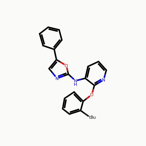 CC(C)(C)c1ccccc1Oc1ncccc1Nc1ncc(-c2ccccc2)o1